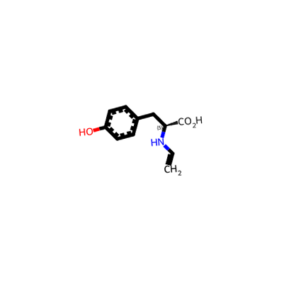 C=CN[C@@H](Cc1ccc(O)cc1)C(=O)O